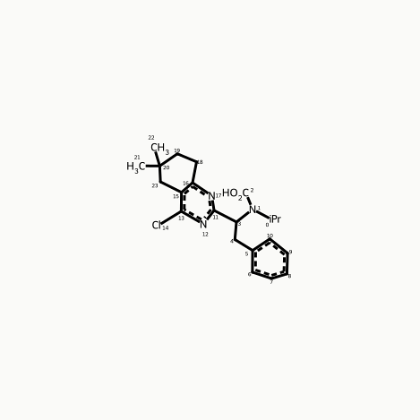 CC(C)N(C(=O)O)C(Cc1ccccc1)c1nc(Cl)c2c(n1)CCC(C)(C)C2